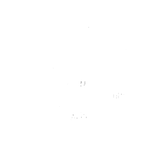 CCCC(OC(C)=O)N(c1ccccc1)C1CCCCC1